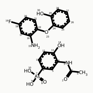 CC(=O)Nc1cc([As](=O)(O)O)ccc1O.Nc1cc(F)ccc1Oc1ccccc1O